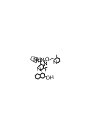 Cc1cccnc1CCOc1nc(N2CC3CCC(C2)N3)c2cnc(-c3cc(O)cc4ccccc34)c(F)c2n1